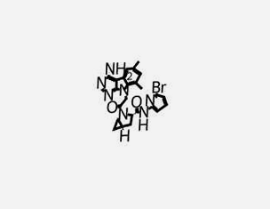 Cc1cc(C)c2c(c1)c1c(N)ncnc1n2CC(=O)N1C2C[C@@H]2C[C@H]1C(=O)Nc1cccc(Br)n1